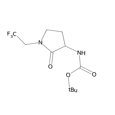 CC(C)(C)OC(=O)NC1CCN(CC(F)(F)F)C1=O